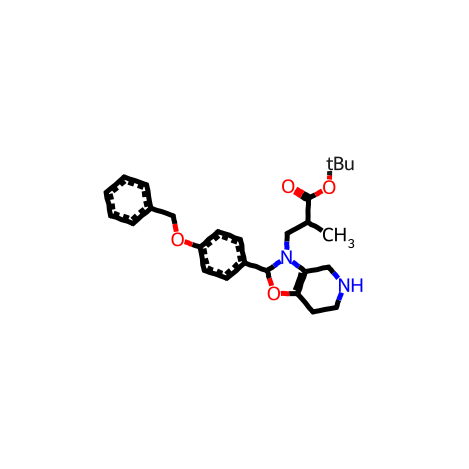 CC(CN1C2=C(CCNC2)OC1c1ccc(OCc2ccccc2)cc1)C(=O)OC(C)(C)C